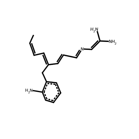 C\C=C/C=C(/C=C/C=N/C=C(N)N)Cc1ccccc1N